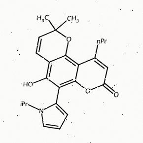 CCCc1cc(=O)oc2c(-c3cccn3C(C)C)c(O)c3c(c12)OC(C)(C)C=C3